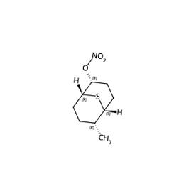 C[C@@H]1CC[C@H]2S[C@@H]1CC[C@H]2O[N+](=O)[O-]